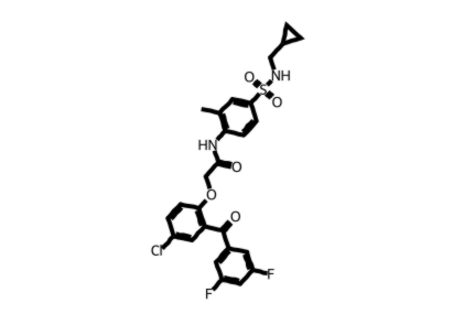 Cc1cc(S(=O)(=O)NCC2CC2)ccc1NC(=O)COc1ccc(Cl)cc1C(=O)c1cc(F)cc(F)c1